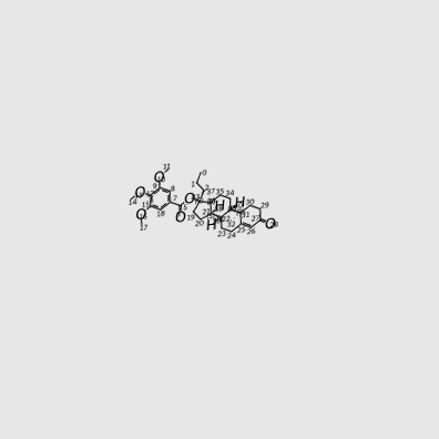 CCC[C@]1(OC(=O)c2cc(OC)c(OC)c(OC)c2)CC[C@H]2[C@@H]3CCC4=CC(=O)CC[C@]4(C)[C@H]3CC[C@@]21C